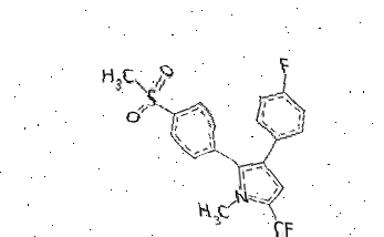 Cn1c(C(F)(F)F)cc(-c2ccc(F)cc2)c1-c1ccc(S(C)(=O)=O)cc1